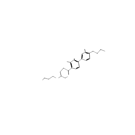 CCCCOC1CCC(c2ccc(-c3ccc(CCCC)c(F)c3)c(F)c2F)OC1